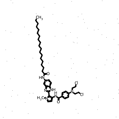 CCCCCCCCCCCCCCCCCCC(=O)Nc1ccc2[nH]c(-c3c(NC(=O)c4ccc(N(CCCl)CCCl)cc4)ccn3C)nc2c1